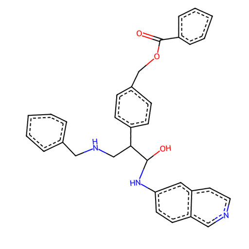 O=C(OCc1ccc(C(CNCc2ccccc2)C(O)Nc2ccc3cnccc3c2)cc1)c1ccccc1